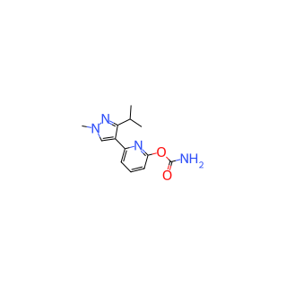 CC(C)c1nn(C)cc1-c1cccc(OC(N)=O)n1